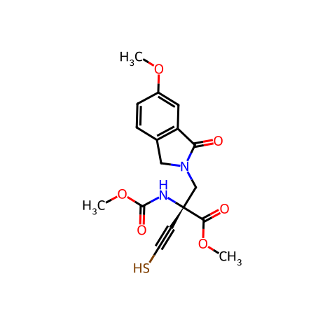 COC(=O)N[C@](C#CS)(CN1Cc2ccc(OC)cc2C1=O)C(=O)OC